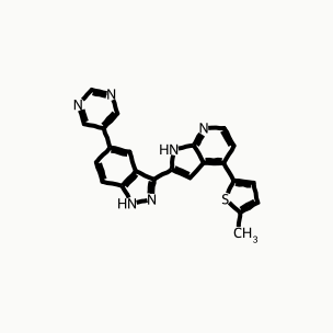 Cc1ccc(-c2ccnc3[nH]c(-c4n[nH]c5ccc(-c6cncnc6)cc45)cc23)s1